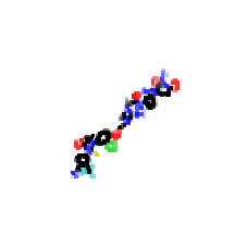 C[C@@H](C(=O)Nc1cccc(NC2CCC(=O)NC2=O)c1)N1CCN(CCOc2ccc(N3C(=S)N(c4ccc(C#N)c(C(F)(F)F)c4)C(=O)C3(C)C)cc2Cl)CC1